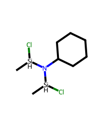 C[SiH](Cl)N(C1CCCCC1)[SiH](C)Cl